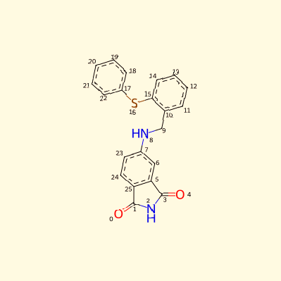 O=C1NC(=O)c2cc(NCc3ccccc3Sc3ccccc3)ccc21